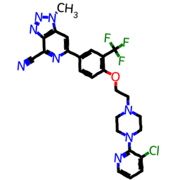 Cn1nnc2c(C#N)nc(-c3ccc(OCCN4CCN(c5ncccc5Cl)CC4)c(C(F)(F)F)c3)cc21